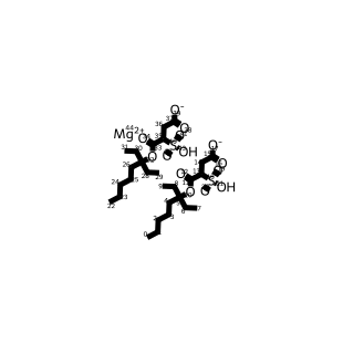 CCCCCC(CC)(CC)OC(=O)C(CC(=O)[O-])S(=O)(=O)O.CCCCCC(CC)(CC)OC(=O)C(CC(=O)[O-])S(=O)(=O)O.[Mg+2]